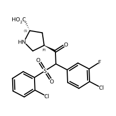 O=C(C(c1ccc(Cl)c(F)c1)S(=O)(=O)c1ccccc1Cl)[C@H]1CN[C@H](C(=O)O)C1